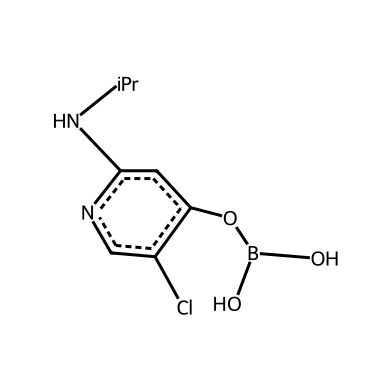 CC(C)Nc1cc(OB(O)O)c(Cl)cn1